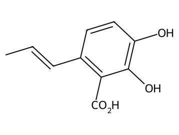 CC=Cc1ccc(O)c(O)c1C(=O)O